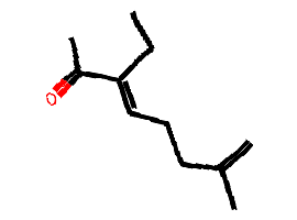 C=C(C)CC/C=C(\CC)C(C)=O